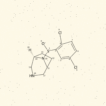 [O-][S+](c1cc(Cl)ccc1Cl)N1C2CC[C@@H]1CNC2